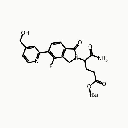 CC(C)(C)OC(=O)CCC(C(N)=O)N1Cc2c(ccc(-c3cc(CO)ccn3)c2F)C1=O